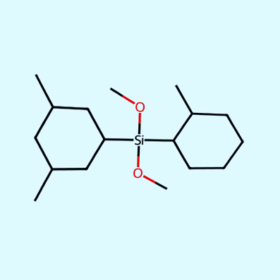 CO[Si](OC)(C1CC(C)CC(C)C1)C1CCCCC1C